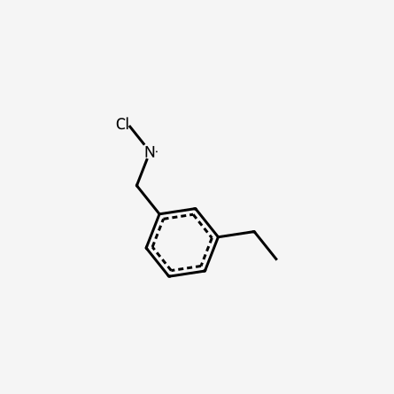 CCc1cccc(C[N]Cl)c1